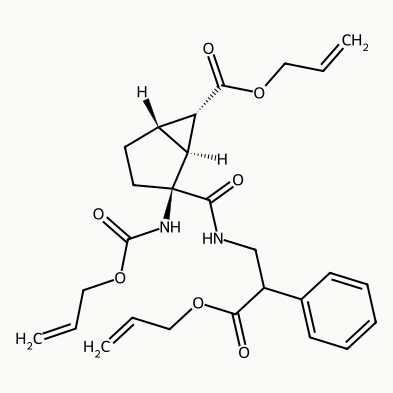 C=CCOC(=O)N[C@@]1(C(=O)NCC(C(=O)OCC=C)c2ccccc2)CC[C@@H]2[C@H](C(=O)OCC=C)[C@H]21